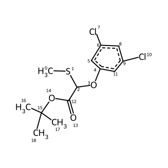 CSC(Oc1cc(Cl)cc(Cl)c1)C(=O)OC(C)(C)C